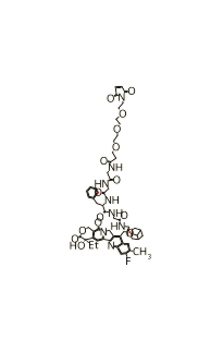 CC[C@@]1(O)C(=O)OCc2c1cc1n(c2=O)Cc2c-1nc1cc(F)c(C)cc1c2CN1CC2CC(C1)C2OCNC(=O)CNC(=O)C(Cc1ccccc1)NC(=O)CNC(=O)CNC(=O)CCOCCOCCOCCN1C(=O)C=CC1=O